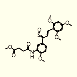 COC(=O)CCC(=O)Nc1cc(C(C=Cc2c(OC)cc(OC)cc2OC)=S=O)ccc1OC